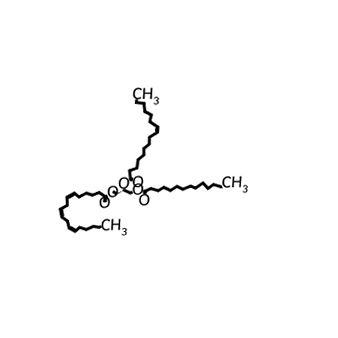 CCCCC/C=C\C/C=C\C/C=C\CCCCC(=O)OC[C@@H](COC(=O)CCCCCCCCCCCCC)OC(=O)CCCCCCC/C=C\CCCCCC